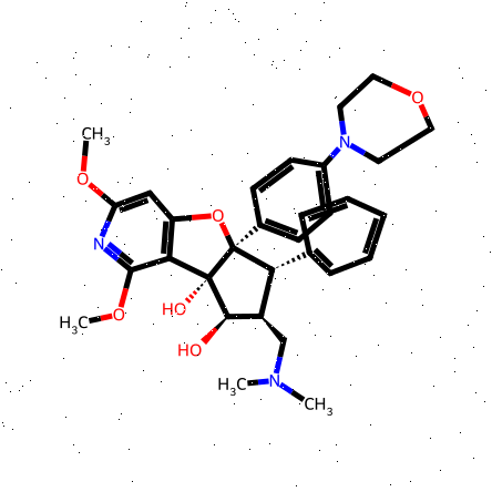 COc1cc2c(c(OC)n1)[C@]1(O)[C@H](O)[C@H](CN(C)C)[C@@H](c3ccccc3)[C@]1(c1ccc(N3CCOCC3)cc1)O2